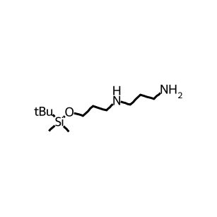 CC(C)(C)[Si](C)(C)OCCCNCCCN